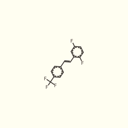 Fc1ccc(F)c(/C=C/c2ccc(C(F)(F)F)cc2)c1